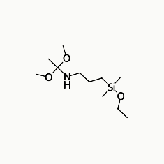 CCO[Si](C)(C)CCCNC(C)(OC)OC